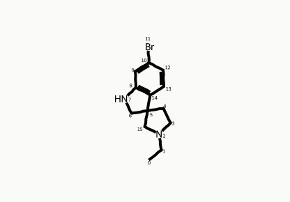 CCN1CCC2(CNc3cc(Br)ccc32)C1